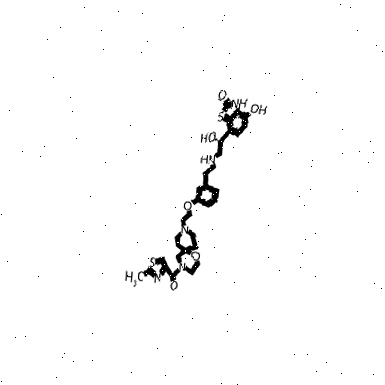 Cc1nc(C(=O)N2CCOC3(CCN(CCOc4cccc(CCNC[C@H](O)c5ccc(O)c6[nH]c(=O)sc56)c4)CC3)C2)cs1